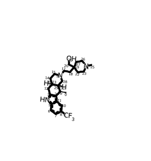 C[C@H]1c2c([nH]c3ccc(C(F)(F)F)cc23)C[C@H]2CCN(CCC3(CO)CCN(C)CC3)C[C@@H]21